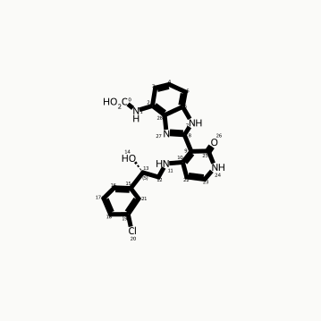 O=C(O)Nc1cccc2[nH]c(-c3c(NC[C@@H](O)c4cccc(Cl)c4)cc[nH]c3=O)nc12